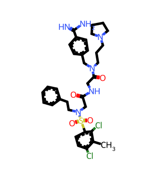 Cc1c(Cl)ccc(S(=O)(=O)N(CCc2ccccc2)CC(=O)NCC(=O)N(CCCN2CCCC2)Cc2ccc(C(=N)N)cc2)c1Cl